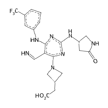 N=Cc1c(Nc2cccc(C(F)(F)F)c2)nc(NC2CNC(=O)C2)nc1N1CC(CC(=O)O)C1